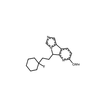 COc1ccc2c(n1)C(CCC1(F)CCCCC1)n1cncc1-2